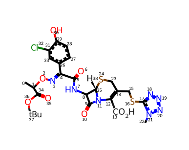 CC(ON=C(C(=O)NC1C(=O)N2C(C(=O)O)=C(CSc3nnnn3C)CS[C@@H]12)c1ccc(O)c(Cl)c1)C(=O)OC(C)(C)C